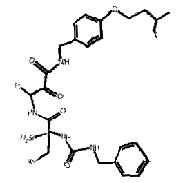 CCC(NC(=O)[C@@]([SiH3])(CC(C)C)NC(=O)NCc1ccccc1)C(=O)C(=O)NCc1ccc(OCCC(C)I)cc1